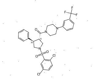 O=C([C@@H]1CN(S(=O)(=O)c2cc(Cl)ccc2Cl)C[C@H]1c1ccccc1)N1CCN(c2cccc(C(F)(F)F)c2)CC1